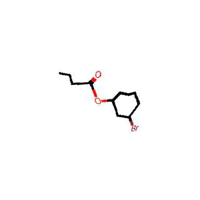 CCCC(=O)OC1CCCC(Br)C1